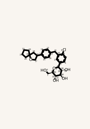 OC[C@H]1OC(c2ccc(Cl)c(Cc3ccc(C4COC5(CCCC5)C4)cc3)c2)[C@H](O)[C@@H](O)[C@@H]1O